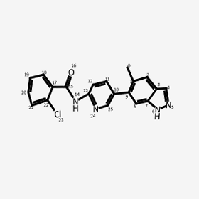 Cc1cc2cn[nH]c2cc1-c1ccc(NC(=O)c2ccccc2Cl)nc1